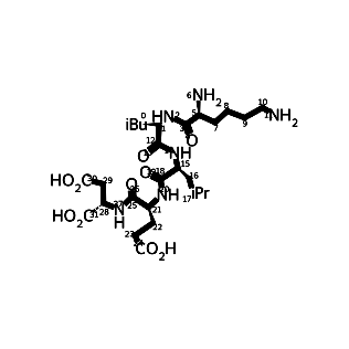 CC[C@H](C)[C@H](NC(=O)[C@@H](N)CCCCN)C(=O)N[C@@H](CC(C)C)C(=O)N[C@@H](CCC(=O)O)C(=O)N[C@@H](CC(=O)O)C(=O)O